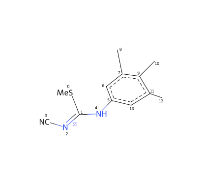 CS/C(=N\C#N)Nc1cc(C)c(C)c(C)c1